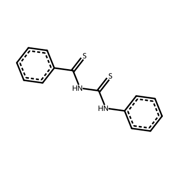 S=C(NC(=S)c1ccccc1)Nc1ccccc1